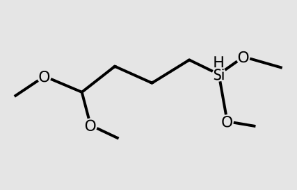 COC(CCC[SiH](OC)OC)OC